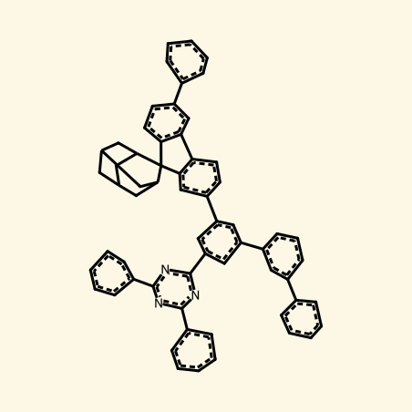 c1ccc(-c2cccc(-c3cc(-c4ccc5c(c4)C4(c6ccc(-c7ccccc7)cc6-5)C5CC6CC(C5)CC4C6)cc(-c4nc(-c5ccccc5)nc(-c5ccccc5)n4)c3)c2)cc1